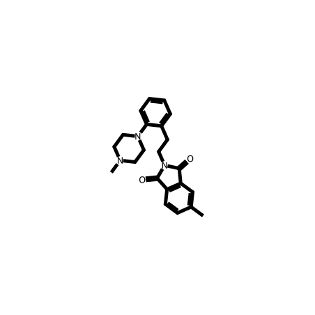 Cc1ccc2c(c1)C(=O)N(CCc1ccccc1N1CCN(C)CC1)C2=O